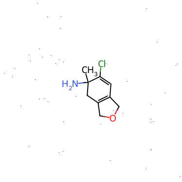 CC1(N)CC2=C(C=C1Cl)COC2